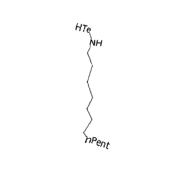 CCCCCCCCCCCCN[TeH]